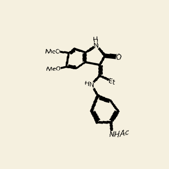 CCC(Nc1ccc(NC(C)=O)cc1)=C1C(=O)Nc2cc(OC)c(OC)cc21